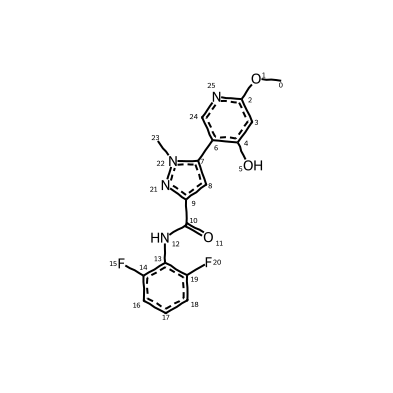 COc1cc(O)c(-c2cc(C(=O)Nc3c(F)cccc3F)nn2C)cn1